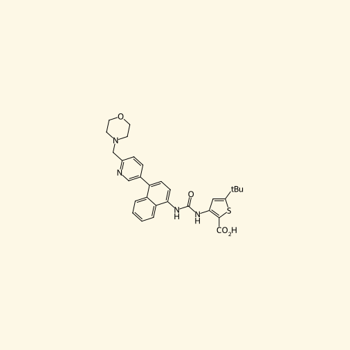 CC(C)(C)c1cc(NC(=O)Nc2ccc(-c3ccc(CN4CCOCC4)nc3)c3ccccc23)c(C(=O)O)s1